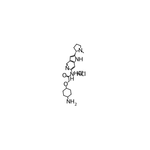 CN1CCC[C@@H]1c1cc2cnc(NC(=O)COC3CCC(N)CC3)cc2[nH]1.Cl.Cl